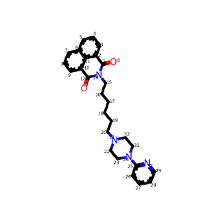 O=C1c2cccc3cccc(c23)C(=O)N1CCCCCCN1CCN(c2ccccn2)CC1